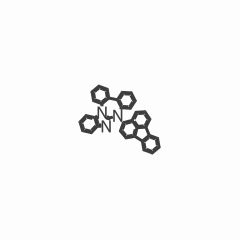 c1ccc2c(c1)-c1cccc3c(N4c5ccccc5-c5ccccc5-n5c4nc4ccccc45)ccc-2c13